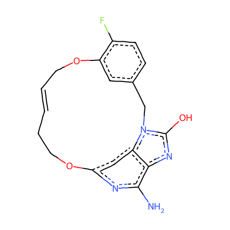 Nc1nc2cc3c1nc(O)n3Cc1ccc(F)c(c1)OC/C=C/CCO2